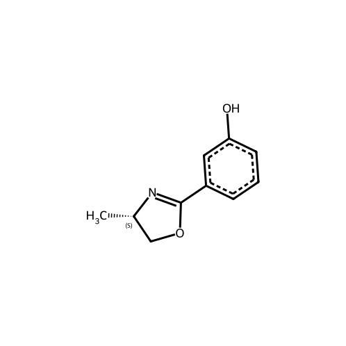 C[C@H]1COC(c2cccc(O)c2)=N1